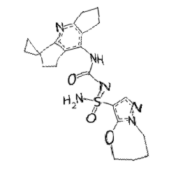 NS(=O)(=NC(=O)Nc1c2c(nc3c1CCC31CC1)CCC2)c1cnn2c1OCCCC2